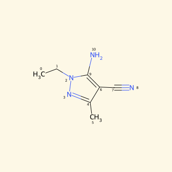 CCn1nc(C)c(C#N)c1N